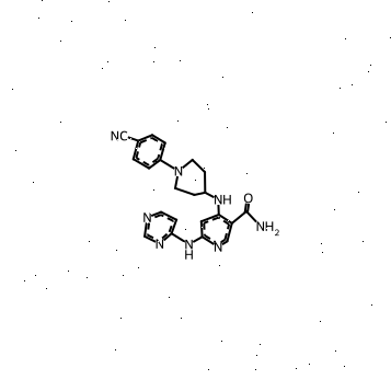 N#Cc1ccc(N2CCC(Nc3cc(Nc4ccncn4)ncc3C(N)=O)CC2)cc1